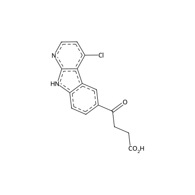 O=C(O)CCC(=O)c1ccc2[nH]c3nccc(Cl)c3c2c1